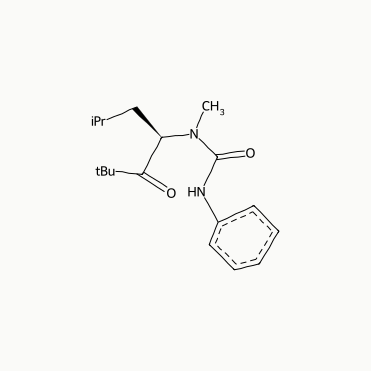 CC(C)C[C@H](C(=O)C(C)(C)C)N(C)C(=O)Nc1ccccc1